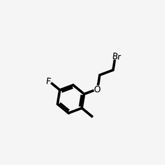 Cc1ccc(F)cc1OCCBr